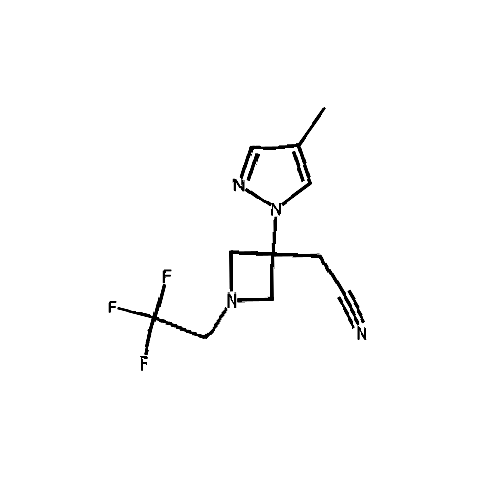 Cc1cnn(C2(CC#N)CN(CC(F)(F)F)C2)c1